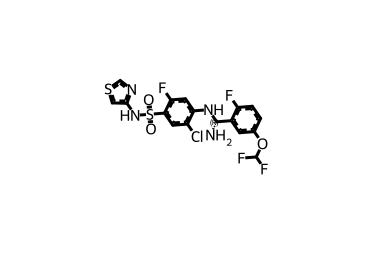 N[C@H](Nc1cc(F)c(S(=O)(=O)Nc2cscn2)cc1Cl)c1cc(OC(F)F)ccc1F